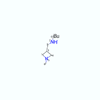 CCC(C)NCC1CN(C)C1